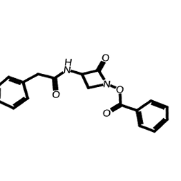 O=C(Cc1ccccc1)NC1CN(OC(=O)c2ccccc2)C1=O